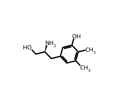 Cc1cc(C[C@H](N)CO)cc(O)c1C